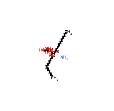 CCCCCCCC/C=C\CCCCCCCC(=O)O[C@H](COC(=O)CCCCCCCCCCCCCCC)COP(=O)(O)OCC(O)CO.N